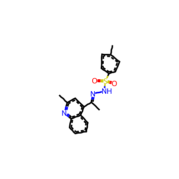 C/C(=N\NS(=O)(=O)c1ccc(C)cc1)c1cc(C)nc2ccccc12